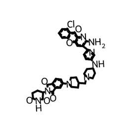 Nc1nc2c(=O)c3c(Cl)cccc3oc2cc1-c1ccc(NC2CCN(CC3CCN(c4ccc5c(c4)C(=O)N(C4CCC(=O)NC4=O)C5=O)CC3)CC2)cn1